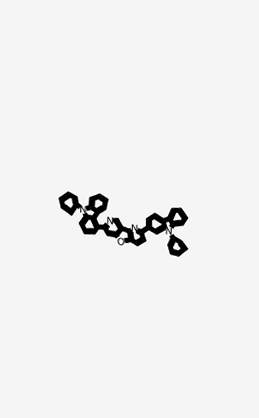 c1ccc(-n2c3ccccc3c3ccc(-c4ccc5oc6cc(-c7cccc8c7c7ccccc7n8-c7ccccc7)ncc6c5n4)cc32)cc1